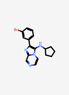 Brc1cccc(-c2nc3cnccn3c2NC2CCCC2)c1